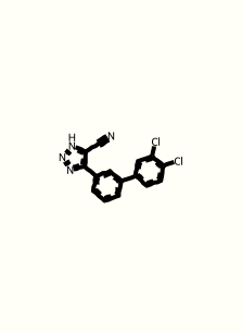 N#Cc1[nH]nnc1-c1cccc(-c2ccc(Cl)c(Cl)c2)c1